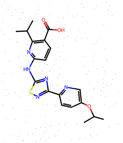 CC(C)Oc1ccc(-c2nsc(Nc3ccc(C(=O)O)c(C(C)C)n3)n2)nc1